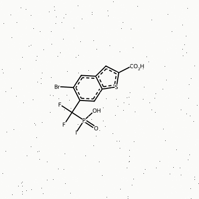 O=C(O)c1cc2cc(Br)c(C(F)(F)P(=O)(O)I)cc2s1